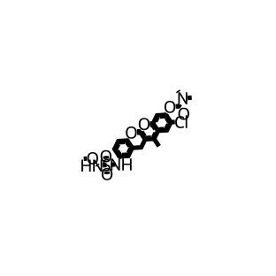 CONS(=O)(=O)Nc1cccc(Cc2c(C)c3cc(Cl)c(OC(=O)N(C)C)cc3oc2=O)c1